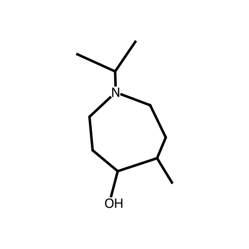 CC1CCN(C(C)C)CCC1O